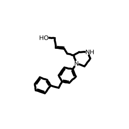 OCC=CCC1CNCCN1c1ccc(Cc2ccccc2)cc1